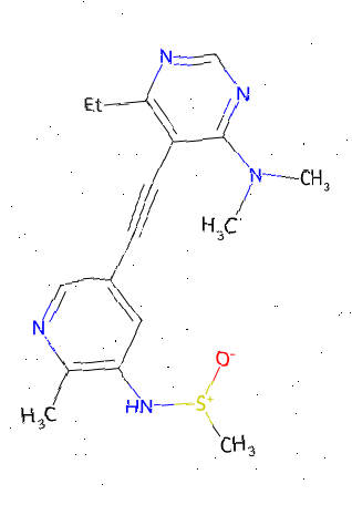 CCc1ncnc(N(C)C)c1C#Cc1cnc(C)c(N[S+](C)[O-])c1